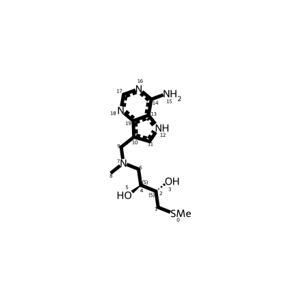 CSC[C@@H](O)[C@@H](O)CN(C)Cc1c[nH]c2c(N)ncnc12